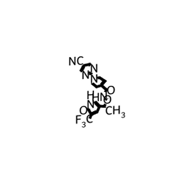 C[C@@H](ONC(=O)C1=CCN(c2ncc(C#N)cn2)CC1)c1c[nH]c(=O)c(C(F)(F)F)c1